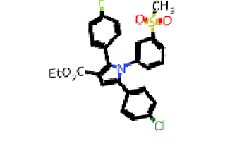 CCOC(=O)c1cc(-c2ccc(Cl)cc2)n(-c2cccc(S(C)(=O)=O)c2)c1-c1ccc(F)cc1